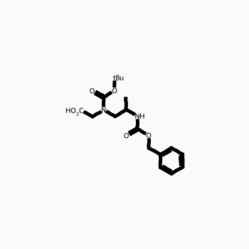 CC(CN(CC(=O)O)C(=O)OC(C)(C)C)NC(=O)OCc1ccccc1